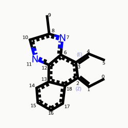 C/C=c1\c(=C/C)c2nc(C)cnc2c2ccccc12